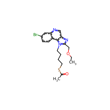 CCOCc1nc2cnc3cc(Br)ccc3c2n1CCCCSC(C)=O